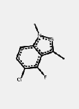 Cc1nn(C)c2ccc(Cl)c(F)c12